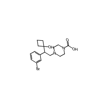 O=C(O)N1CCN(CC(c2cccc(Br)c2)C2(O)CCC2)CC1